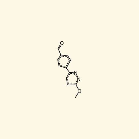 COc1ccc(-c2ccc(C=O)cc2)nn1